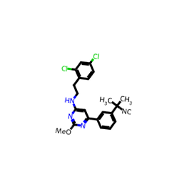 [C-]#[N+]C(C)(C)c1cccc(-c2cc(NCCc3ccc(Cl)cc3Cl)nc(OC)n2)c1